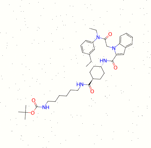 CCc1cccc(N(CC)C(=O)Cn2c(C(=O)N[C@H]3CC[C@H](C(=O)NCCCCCCNC(=O)OC(C)(C)C)CC3)cc3ccccc32)c1